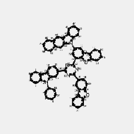 c1ccc(-n2c3ccccc3c3ccc(-c4nc(-c5ccc6oc7ccccc7c6c5)nc(-c5cc(-n6c7ccccc7c7cc8ccccc8cc76)cc6c5oc5ccccc56)n4)cc32)cc1